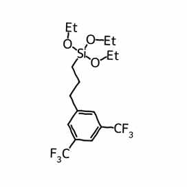 CCO[Si](CCCc1cc(C(F)(F)F)cc(C(F)(F)F)c1)(OCC)OCC